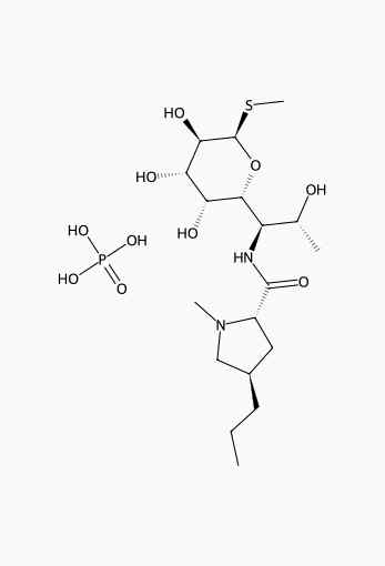 CCC[C@@H]1C[C@@H](C(=O)N[C@@H]([C@H]2O[C@H](SC)[C@H](O)[C@@H](O)[C@H]2O)[C@@H](C)O)N(C)C1.O=P(O)(O)O